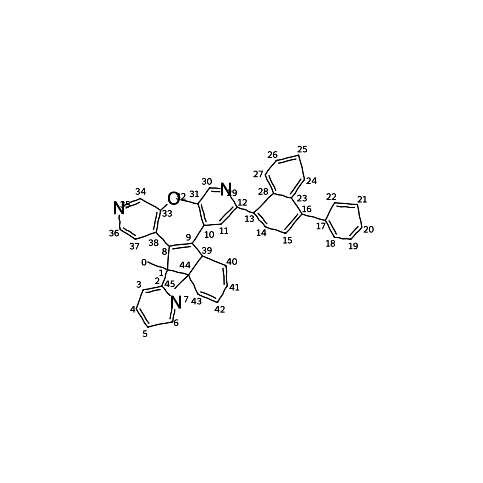 CC1(c2ccccn2)C2=C(c3cc(-c4ccc(-c5ccccc5)c5ccccc45)ncc3Oc3cnccc32)C2C=CC=CC21C